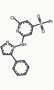 CC(C)S(=O)(=O)c1cc(Cl)nc(Nn2nccc2-c2ccccc2)c1